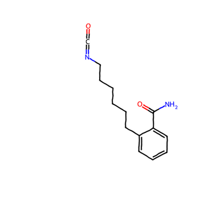 NC(=O)c1ccccc1CCCCCCN=C=O